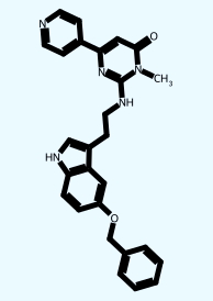 Cn1c(NCCc2c[nH]c3ccc(OCc4ccccc4)cc23)nc(-c2ccncc2)cc1=O